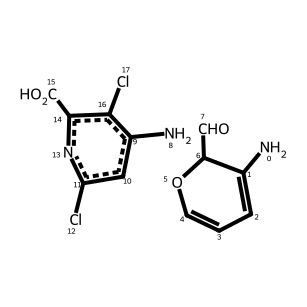 NC1=CC=COC1C=O.Nc1cc(Cl)nc(C(=O)O)c1Cl